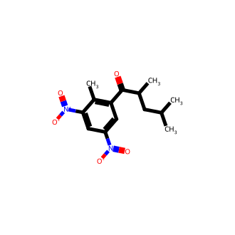 Cc1c(C(=O)C(C)CC(C)C)cc([N+](=O)[O-])cc1[N+](=O)[O-]